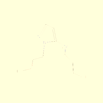 CCCCNc1ccnn1CCOC